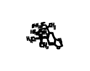 CC(C)(C)c1cc2ncoc2cc1C(C)(C)C